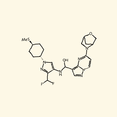 CS[C@H]1CC[C@H](n2cc(NC(O)c3cnn4ccc(N5CC6CC5CO6)nc34)c(C(F)F)n2)CC1